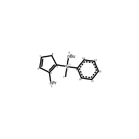 CCCC[Si](C)(C1=C(CCC)C=CC1)c1ccccc1